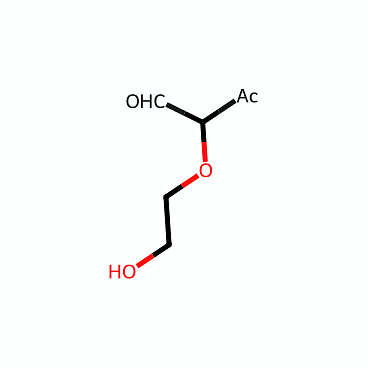 CC(=O)C(C=O)OCCO